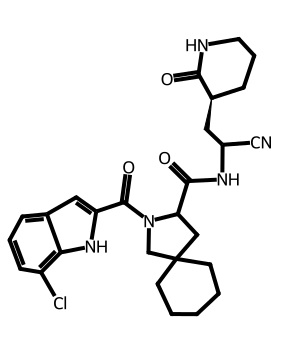 N#CC(C[C@@H]1CCCNC1=O)NC(=O)C1CC2(CCCCC2)CN1C(=O)c1cc2cccc(Cl)c2[nH]1